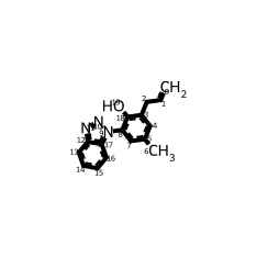 C=CCc1cc(C)cc(-n2nnc3ccccc32)c1O